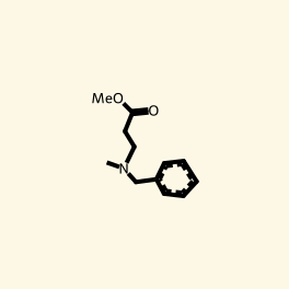 [CH2]OC(=O)CCN(C)Cc1ccccc1